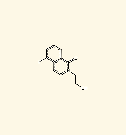 O=c1c2cccc(I)c2ccn1CCO